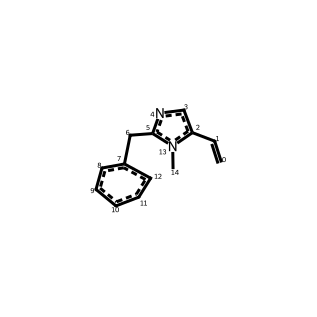 C=Cc1cnc(Cc2ccccc2)n1C